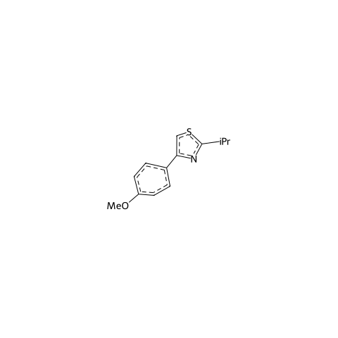 COc1ccc(-c2csc(C(C)C)n2)cc1